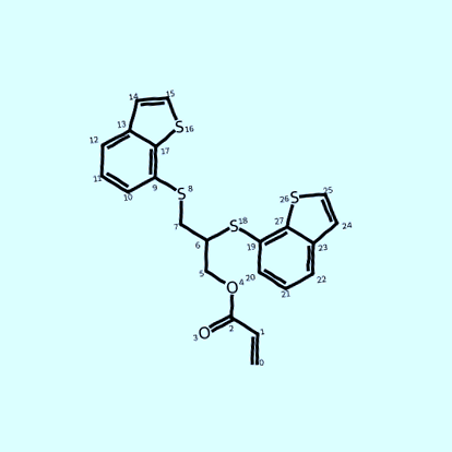 C=CC(=O)OCC(CSc1cccc2ccsc12)Sc1cccc2ccsc12